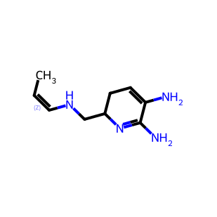 C/C=C\NCC1CC=C(N)C(N)=N1